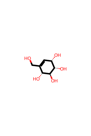 OCC1=C[C@H](O)[C@H](O)[C@@H](O)[C@@H]1O